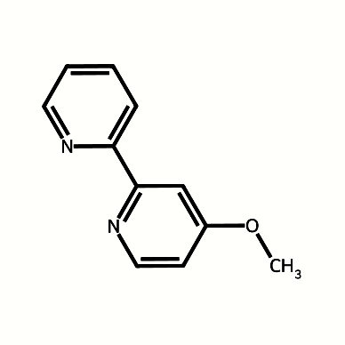 COc1ccnc(-c2ccccn2)c1